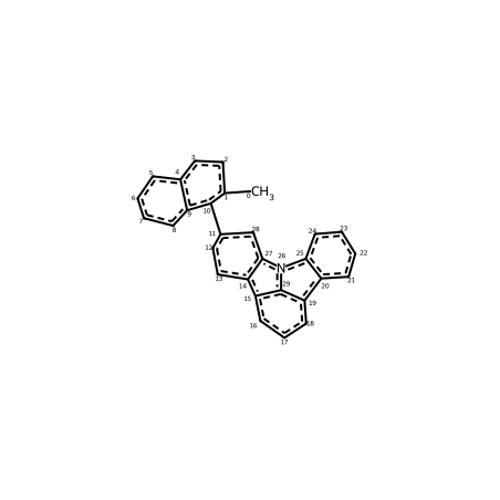 Cc1ccc2ccccc2c1-c1ccc2c3cccc4c5ccccc5n(c2c1)c43